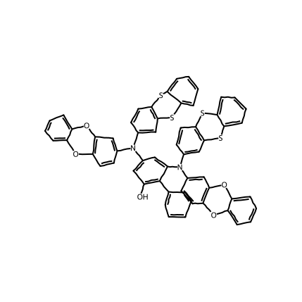 Oc1cc(N(c2ccc3c(c2)Oc2ccccc2O3)c2ccc3c(c2)Sc2ccccc2S3)cc(N(c2ccc3c(c2)Oc2ccccc2O3)c2ccc3c(c2)Sc2ccccc2S3)c1-c1ccccc1